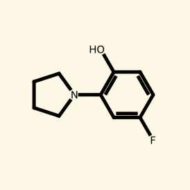 Oc1ccc(F)cc1N1CCCC1